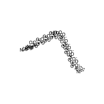 O.O.O=S(=O)([O-])[O-].O=S(=O)([O-])[O-].O=S(=O)([O-])[O-].O=S(=O)([O-])[O-].O=S(=O)([O-])[O-].O=S(=O)([O-])[O-].O=S(=O)([O-])[O-].O=S(=O)([O-])[O-].O=S(=O)([O-])[O-].[Al+3].[Al+3].[Co+2].[Co+2].[Mg+2].[Mg+2].[Ni+2].[Ni+2]